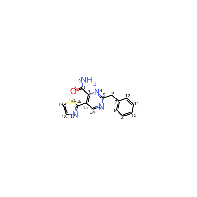 NC(=O)c1nc(Cc2ccccc2)ncc1-c1nccs1